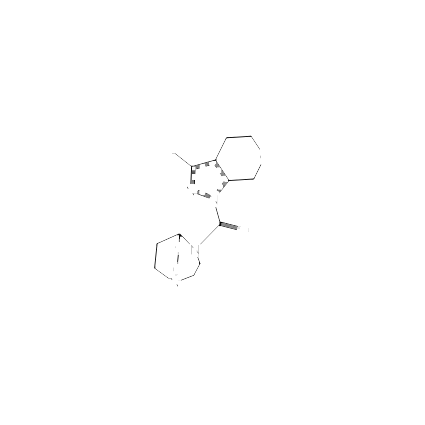 O=C(N1CCN2CCC1CC2)n1nc(I)c2c1COCC2